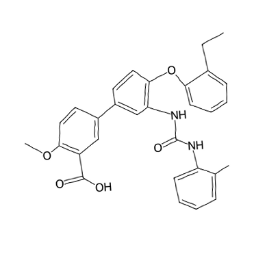 CCc1ccccc1Oc1ccc(-c2ccc(OC)c(C(=O)O)c2)cc1NC(=O)Nc1ccccc1C